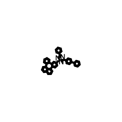 c1ccc(-c2ccc(-c3nc(-c4ccccc4)nc(-c4ccc5c(c4)-c4ccccc4-c4cccc6cccc-5c46)n3)cc2)cc1